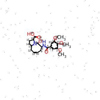 COc1cc(C(=O)NC2CC=CCC3CCC(C(=O)O)N3C2=O)cc(OC)c1OC